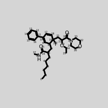 CCCCCCC(CC1C=C(c2ccccc2)C=CC1(F)CC(OCC)C(=O)N1CCOCC1)C(=O)NC